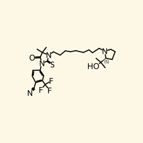 CC(C)(O)[C@@H]1CCCN1CCCCCCCCCN1C(=S)N(c2ccc(C#N)c(C(F)(F)F)c2)C(=O)C1(C)C